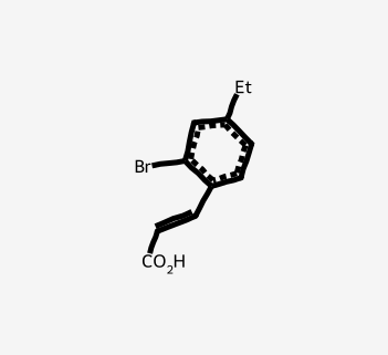 CCc1ccc(C=CC(=O)O)c(Br)c1